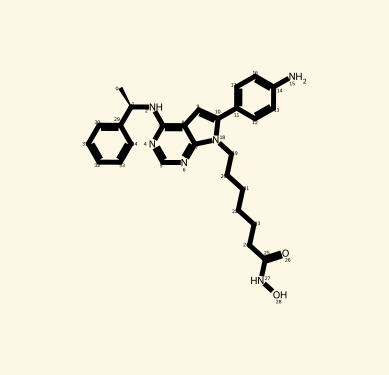 C[C@@H](Nc1ncnc2c1cc(-c1ccc(N)cc1)n2CCCCCCC(=O)NO)c1ccccc1